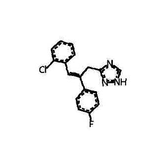 Fc1ccc(C(=Cc2ccccc2Cl)Cc2nc[nH]n2)cc1